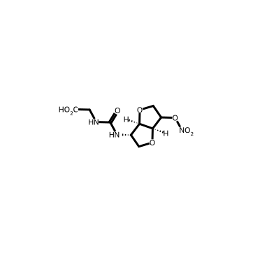 O=C(O)CNC(=O)N[C@H]1CO[C@@H]2C(O[N+](=O)[O-])CO[C@H]12